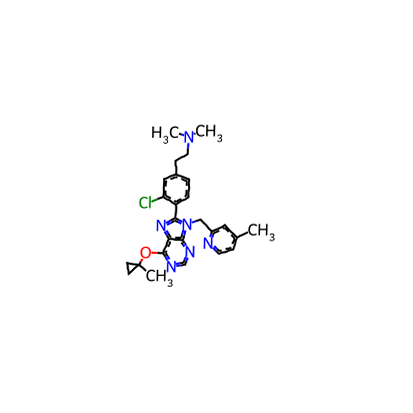 Cc1ccnc(Cn2c(-c3ccc(CCN(C)C)cc3Cl)nc3c(OC4(C)CC4)ncnc32)c1